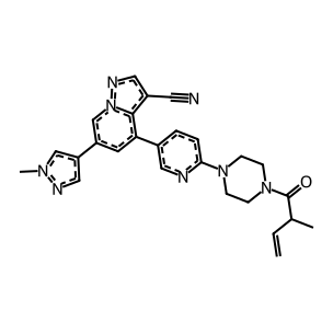 C=CC(C)C(=O)N1CCN(c2ccc(-c3cc(-c4cnn(C)c4)cn4ncc(C#N)c34)cn2)CC1